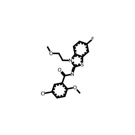 COCCn1c(=NC(=O)c2cc(Cl)ccc2OC)sc2cc(F)ccc21